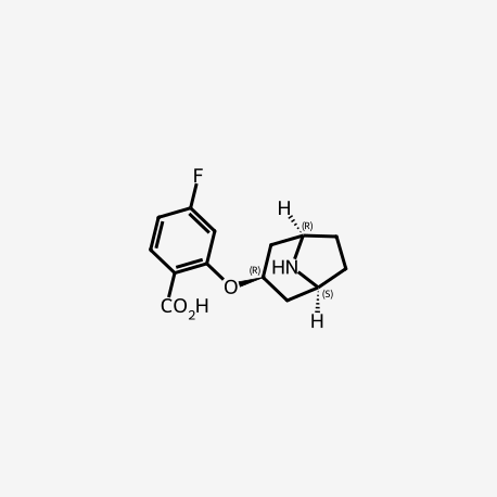 O=C(O)c1ccc(F)cc1O[C@H]1C[C@H]2CC[C@@H](C1)N2